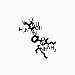 CCCCNC(CC)CN(CC(CC)C(N)CCC)C(=O)c1cccc(/N=N/c2c(O)[nH]c(=O)c(C#N)c2N)c1